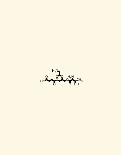 C[C@@H](O)[C@H](N)C(=O)OCC(COC(=O)CCC(=O)O)OC(=O)CN